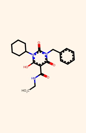 O=C(O)CNC(=O)c1c(O)n(C2CCCCC2)c(=O)n(Cc2ccccc2)c1=O